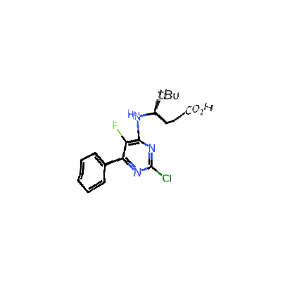 CC(C)(C)[C@@H](CC(=O)O)Nc1nc(Cl)nc(-c2ccccc2)c1F